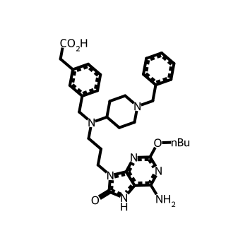 CCCCOc1nc(N)c2[nH]c(=O)n(CCCN(Cc3cccc(CC(=O)O)c3)C3CCN(Cc4ccccc4)CC3)c2n1